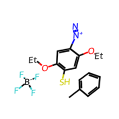 CCOc1cc([N+]#N)c(OCC)cc1S.Cc1ccccc1.F[B-](F)(F)F